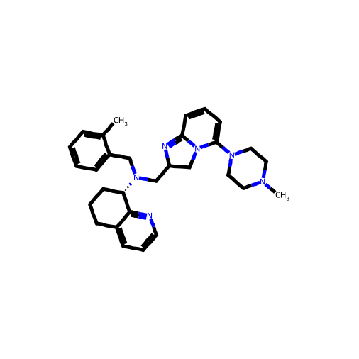 Cc1ccccc1CN(CC1CN2C(N3CCN(C)CC3)=CC=CC2=N1)[C@H]1CCCc2cccnc21